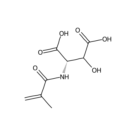 C=C(C)C(=O)N[C@H](C(=O)O)C(O)C(=O)O